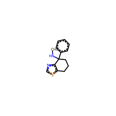 O=CNC1(c2ccccc2)CCCc2scnc21